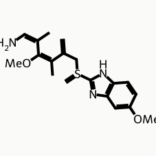 C=C(CS(=C)c1nc2cc(OC)ccc2[nH]1)/C(C)=C(OC)\C(C)=C/N